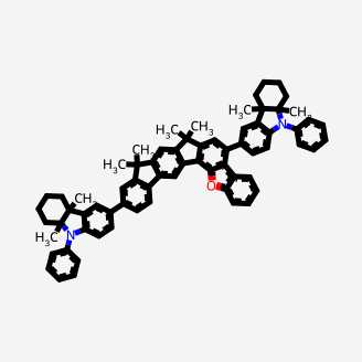 CC1(C)c2cc(-c3ccc4c(c3)C3(C)CCCCC3(C)N4c3ccccc3)ccc2-c2cc3c(cc21)C(C)(C)c1cc(-c2ccc4c(c2)C2(C)CCCCC2(C)N4c2ccccc2)c2c(oc4ccccc42)c1-3